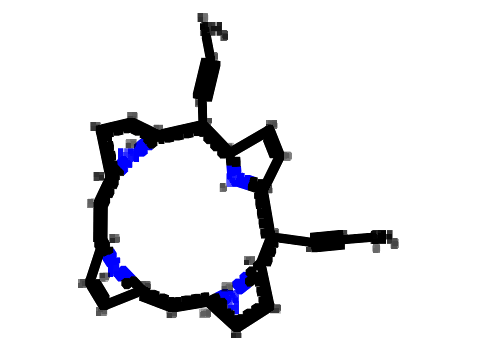 [SiH3]C#Cc1c2nc(c(C#C[SiH3])c3ccc(cc4nc(cc5ccc1[nH]5)C=C4)[nH]3)C=C2